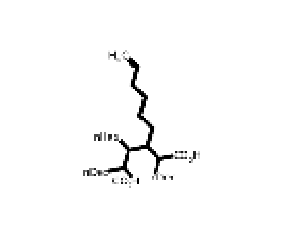 C=CCCCCC(C(CCCCCCCCCC)C(=O)O)C(CCCCCC)C(CCCCCCCCCC)C(=O)O